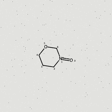 O=[N+]1CCCOC1